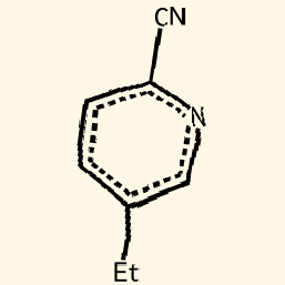 CCc1ccc(C#N)nc1